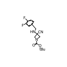 CC(C)(C)OC(=O)N1CC(C#N)(NCc2ccc(F)c(F)c2)C1